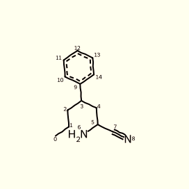 CCCC(CC(N)C#N)c1ccccc1